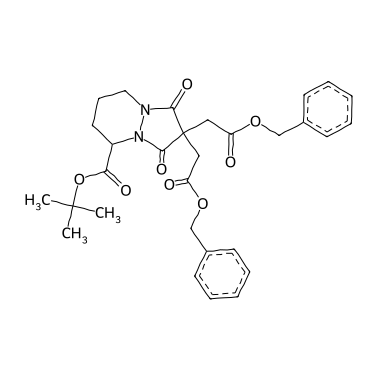 CC(C)(C)OC(=O)C1CCCN2C(=O)C(CC(=O)OCc3ccccc3)(CC(=O)OCc3ccccc3)C(=O)N12